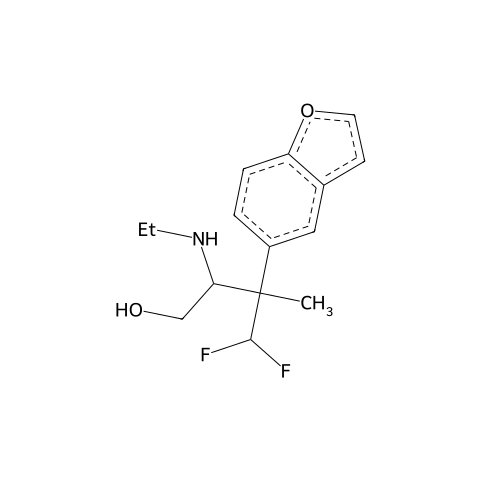 CCNC(CO)C(C)(c1ccc2occc2c1)C(F)F